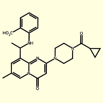 Cc1cc(C(C)Nc2ccccc2C(=O)O)c2nc(N3CCN(C(=O)C4CC4)CC3)cc(=O)n2c1